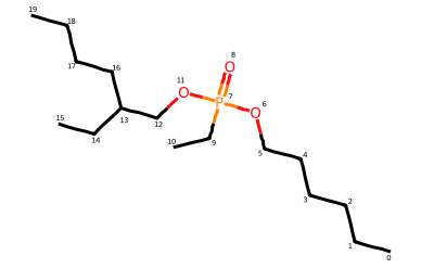 CCCCCCOP(=O)(CC)OCC(CC)CCCC